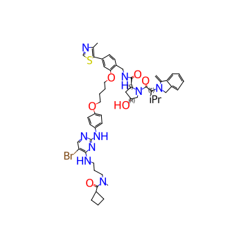 C=C1c2ccccc2CN1[C@H](C(=O)N1C[C@H](O)C[C@H]1C(=O)NCc1ccc(-c2scnc2C)cc1OCCCCOc1ccc(Nc2ncc(Br)c(NCCCN(C)C(=O)C3CCC3)n2)cc1)C(C)C